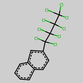 ClC(Cl)(Cl)C(Cl)(Cl)C(Cl)(Cl)C(Cl)(Cl)c1[c]c2ccccc2cc1